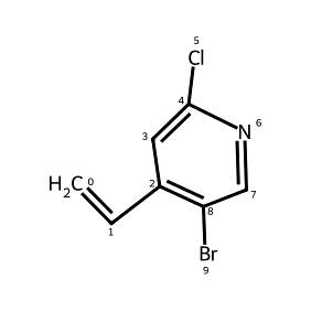 C=Cc1cc(Cl)ncc1Br